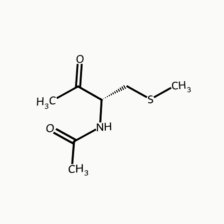 CSC[C@H](NC(C)=O)C(C)=O